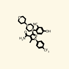 Cc1c(C(N)=O)c([N+]2(c3ccc(O)cc3C#N)CCN(C3CCOCC3)CC2)nn1-c1ccc(C(F)(F)F)cc1